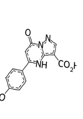 CCOc1ccc(-c2cc(=O)n3ncc(C(=O)O)c3[nH]2)cc1